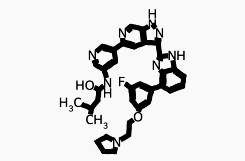 CC(C)CC(O)Nc1cncc(-c2cc3c(-c4nc5c(-c6cc(F)cc(OCCN7CCCC7)c6)cccc5[nH]4)n[nH]c3cn2)c1